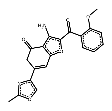 COc1ccccc1C(=O)c1oc2c(c1N)C(=O)CC(c1coc(C)n1)=C2